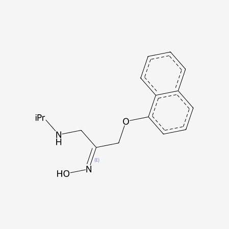 CC(C)NC/C(COc1cccc2ccccc12)=N\O